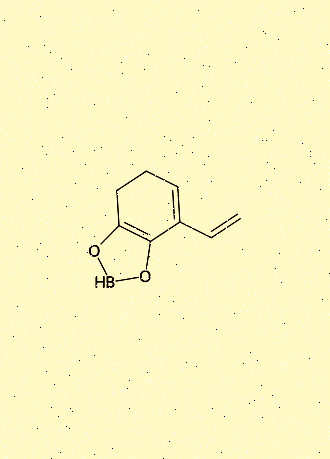 C=CC1=CCCC2=C1OBO2